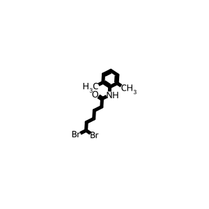 Cc1cccc(C)c1NC(=O)CCCCC(Br)Br